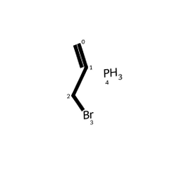 C=CCBr.P